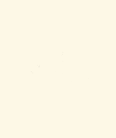 N=C(N)OCCc1cc(F)c(Oc2ccc(Cl)c(C(F)(F)F)c2)c(F)c1.O=S(=O)(O)C(F)(F)F